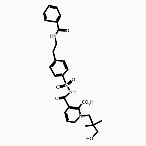 CC(C)(CO)CN1CC=CC(C(=O)NS(=O)(=O)c2ccc(CCNC(=O)c3ccccc3)cc2)=C1C(=O)O